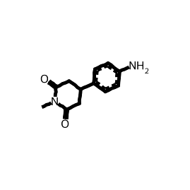 CN1C(=O)CC(c2ccc(N)cc2)CC1=O